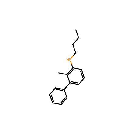 CCCCPc1cccc(-c2ccccc2)c1C